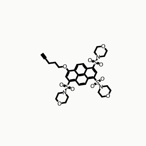 C#CCCCOc1cc(S(=O)(=O)N2CCOCC2)c2ccc3c(S(=O)(=O)N4CCOCC4)cc(S(=O)(=O)N4CCOCC4)c4ccc1c2c43